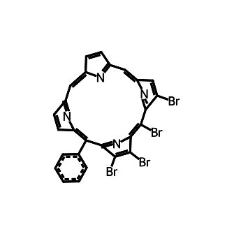 BrC1=CC2=CC3=NC(=CC4=NC(=C(c5ccccc5)C5=NC(=C(Br)C1=N2)C(Br)=C5Br)C=C4)C=C3